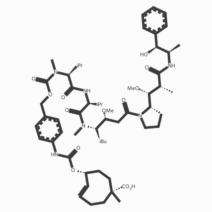 CC[C@H](C)[C@@H]([C@@H](CC(=O)N1CCC[C@H]1[C@H](OC)[C@@H](C)C(=O)N[C@H](C)[C@@H](O)c1ccccc1)OC)N(C)C(=O)[C@@H](NC(=O)[C@H](C(C)C)N(C)C(=O)OCc1ccc(NC(=O)O[C@H]2/C=C/CC[C@@](C)(C(=O)O)CC2)cc1)C(C)C